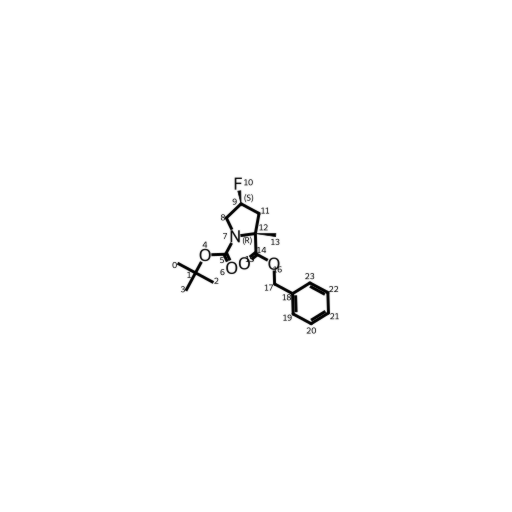 CC(C)(C)OC(=O)N1C[C@@H](F)C[C@]1(C)C(=O)OCc1ccccc1